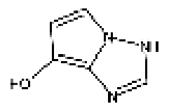 Oc1ccn2[nH]cnc12